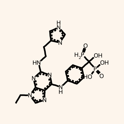 CCn1cnc2c(Nc3ccc(C(O)([PH2]=O)P(=O)(O)O)cc3)nc(NCCc3c[nH]cn3)nc21